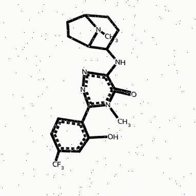 CN1C2CCC(Nc3nnc(-c4ccc(C(F)(F)F)cc4O)n(C)c3=O)C1CC2